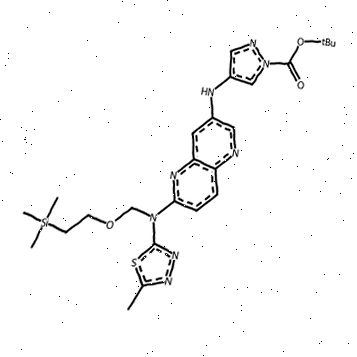 Cc1nnc(N(COCC[Si](C)(C)C)c2ccc3ncc(Nc4cnn(C(=O)OC(C)(C)C)c4)cc3n2)s1